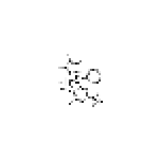 CC1=C(C)C(C)([Si](CC(C)C)(c2ccccc2)c2cc(C)cc([Si](C)(C)C)c2)[C]([Ti]([CH3])[CH3])=C1C